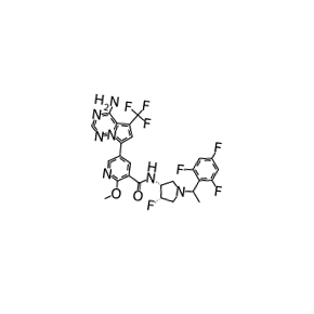 COc1ncc(-c2cc(C(F)(F)F)c3c(N)ncnn23)cc1C(=O)N[C@@H]1CN(C(C)c2c(F)cc(F)cc2F)C[C@@H]1F